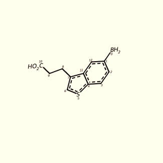 Bc1ccc2scc(CCC(=O)O)c2c1